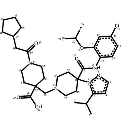 CC(C)c1ccnn1C1(C(=O)Nc2ccc(Cl)cc2OC(F)F)CCN(CC2(C(=O)O)CCN(C(=O)CC3CCCC3)CC2)CC1